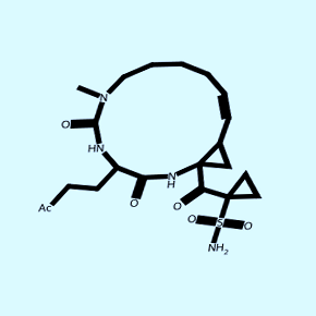 CC(=O)CCC1NC(=O)N(C)CCCCC=CC2CC2(C(=O)C2(S(N)(=O)=O)CC2)NC1=O